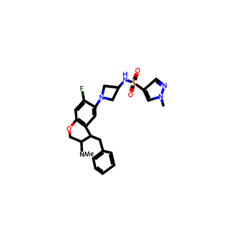 CNC1COc2cc(F)c(N3CC(NS(=O)(=O)c4cnn(C)c4)C3)cc2C1Cc1ccccc1